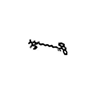 CCn1c(=O)n(C(C)C)s/c1=N/CCCCCCCCNc1c2c(nc3ccccc13)CCCC2